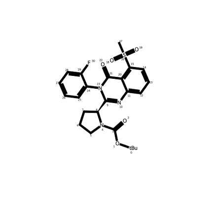 CC(C)(C)OC(=O)N1CCC[C@H]1c1nc2cccc(S(C)(=O)=O)c2c(=O)n1-c1ccccc1F